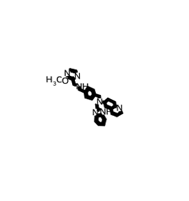 COc1nccnc1CNCc1ccc(CN(Cc2nc3ccccc3[nH]2)C2C=C3C=CC=NC3CC2)cc1